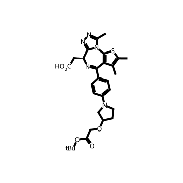 Cc1sc2c(c1C)C(c1ccc(N3CCC(OCC(=O)OC(C)(C)C)C3)cc1)=N[C@@H](CC(=O)O)c1nnc(C)n1-2